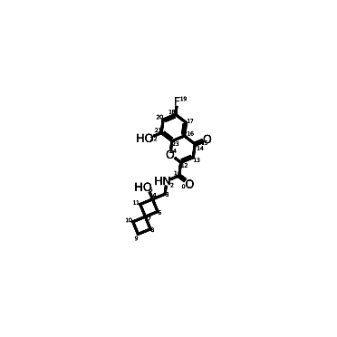 O=C(NCC1(O)CC2(CCC2)C1)c1cc(=O)c2cc(F)cc(O)c2o1